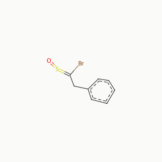 O=S=C(Br)Cc1ccccc1